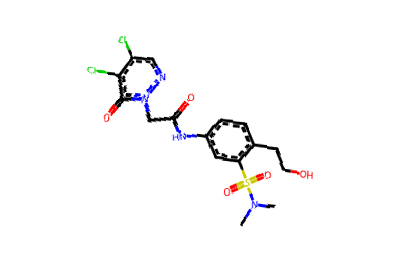 CN(C)S(=O)(=O)c1cc(NC(=O)Cn2ncc(Cl)c(Cl)c2=O)ccc1CCO